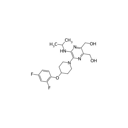 CC(C)Nc1nc(CO)c(CO)nc1N1CCC(Oc2ccc(F)cc2F)CC1